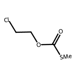 CSC(=O)OCCCl